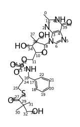 Cc1nc2c(ncn2C2OC(COP(=O)(NCc3ccccc3)OCCSC(=O)C(C)(C)CO)C(O)C2(C)O)c(=O)[nH]1